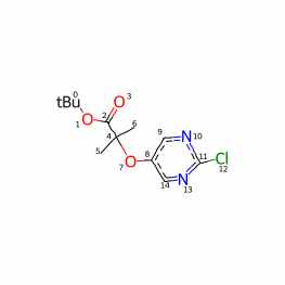 CC(C)(C)OC(=O)C(C)(C)Oc1cnc(Cl)nc1